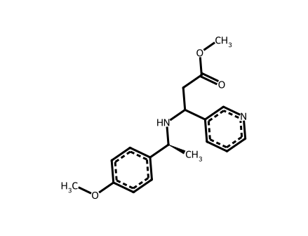 COC(=O)CC(N[C@@H](C)c1ccc(OC)cc1)c1cccnc1